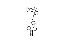 CC1(C)c2cc3ccccc3cc2-c2c(/C=C/Cc3ccc(-c4cccc5[nH]c6ccccc6c45)cc3)cccc21